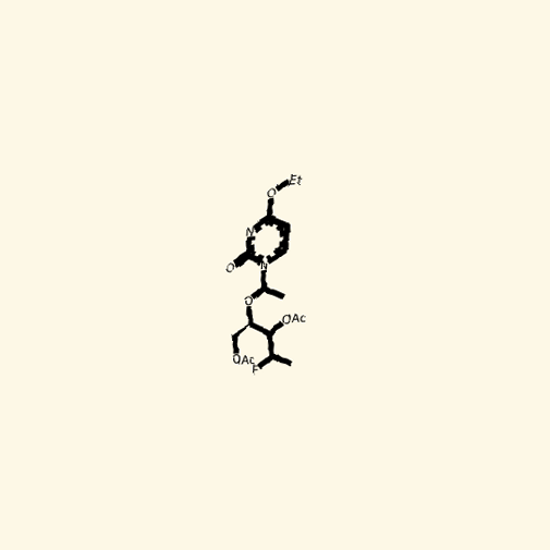 CCOc1ccn(C(C)O[C@H](COC(C)=O)C(OC(C)=O)C(C)F)c(=O)n1